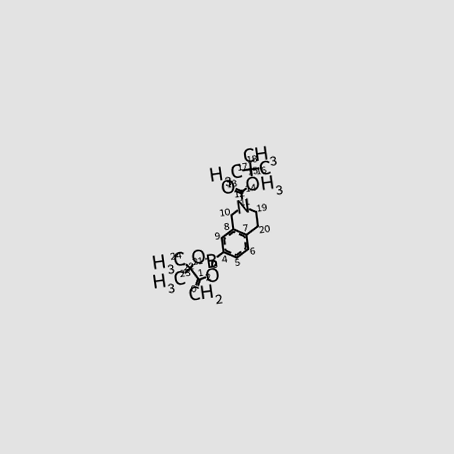 C=C1OB(c2ccc3c(c2)CN(C(=O)OC(C)(C)C)CC3)OC1(C)C